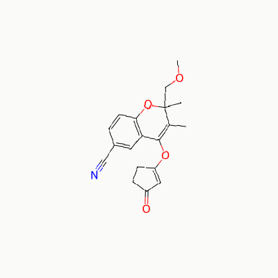 COCC1(C)Oc2ccc(C#N)cc2C(OC2=CC(=O)CC2)=C1C